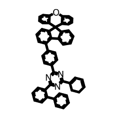 C1=CCCC(c2nc(-c3ccc(-c4cccc5c4-c4ccccc4C54c5ccccc5Oc5ccccc54)cc3)nc(-c3ccccc3-c3ccccc3)n2)=C1